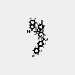 O=C(c1ccc(-c2ccc(F)cc2)cc1)N1CCC(C(=O)N[C@H]2c3ccccc3C[C@H]2O)(c2ccc(F)cc2)CC1